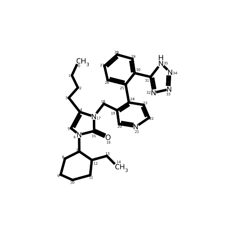 CCCCc1cn(C2CCCCC2CC)c(=O)n1Cc1cnccc1-c1ccccc1-c1nnn[nH]1